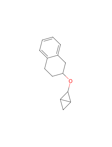 c1ccc2c(c1)CCC(OC1C3CC31)C2